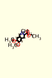 CCOC(=O)C1Cc2cc(OC)c(OC)cc2CN1C